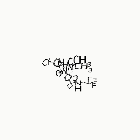 CC(C)(C)/N=C/c1cc(C2(C(=O)NCCC(F)(F)F)CCC2)ccc1NC(=O)c1cccc(Cl)c1